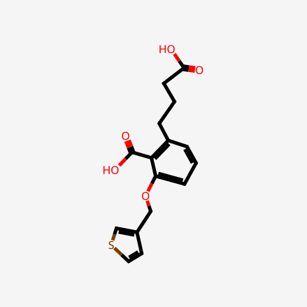 O=C(O)CCCc1cccc(OCc2ccsc2)c1C(=O)O